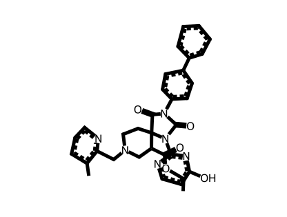 CCOC(=O)C1CN(Cc2ncccc2C)CCC12C(=O)N(c1ccc(-c3ccccc3)cc1)C(=O)N2c1nccc(O)n1